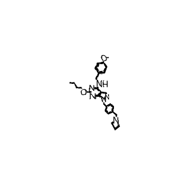 CCCCOc1nc(NCc2ccc(OC)cc2)c2cnn(Cc3ccc(CN4CCC4)cc3)c2n1